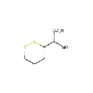 CCCC(C(=O)O)C1CCCSS1